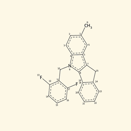 Cc1ccc2c(c1)c1c(n2Cc2c(F)cccc2F)-c2ccccc2C1